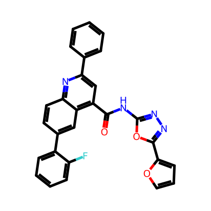 O=C(Nc1nnc(-c2ccco2)o1)c1cc(-c2ccccc2)nc2ccc(-c3ccccc3F)cc12